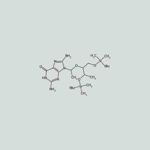 Bc1nc2c(=O)[nH]c(N)nc2n1C(C)OC(CO[Si](C)(C)C(C)(C)C)C(C)O[Si](C)(C)C(C)(C)C